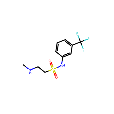 CNCCS(=O)(=O)Nc1cccc(C(F)(F)F)c1